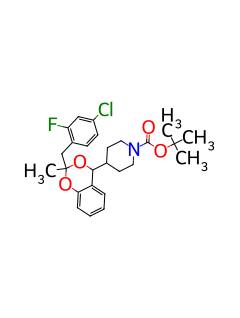 CC(C)(C)OC(=O)N1CCC(C2OC(C)(Cc3ccc(Cl)cc3F)Oc3ccccc32)CC1